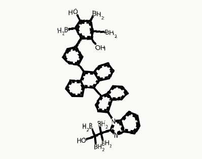 Bc1c(B)c(O)c(-c2cccc(-c3c4ccccc4c(-c4ccc(-n5c(C(B)(B)C(B)(B)O)nc6ccccc65)c5ccccc45)c4ccccc34)c2)c(B)c1O